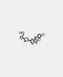 Cc1nn([C@H](C)c2ccc(Cl)cc2Cl)c2nc(N3CCC(N4CCCC4CO)[C@H](C)C3)cnc12